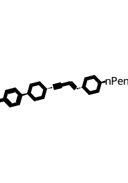 CCCCC[C@H]1CC[C@H](C=CC#C[C@H]2CC[C@H](c3ccc(F)cc3)CC2)CC1